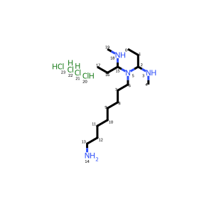 CCC(NC)N(CCCCCCCCN)C(CC)NC.Cl.Cl.Cl.Cl